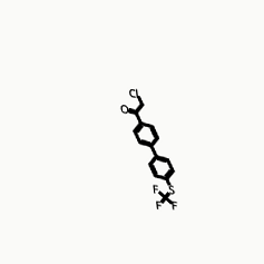 O=C(CCl)c1ccc(-c2ccc(SC(F)(F)F)cc2)cc1